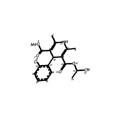 COC(=O)C1=C(C)NC(C)=C(C(=O)OC(C)C#N)C1c1ccccc1Cl